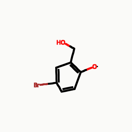 [O]c1ccc(Br)cc1CO